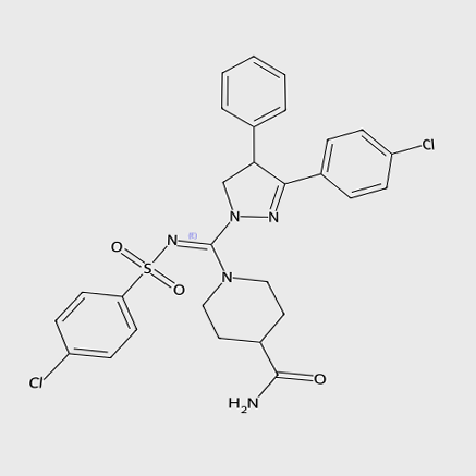 NC(=O)C1CCN(/C(=N\S(=O)(=O)c2ccc(Cl)cc2)N2CC(c3ccccc3)C(c3ccc(Cl)cc3)=N2)CC1